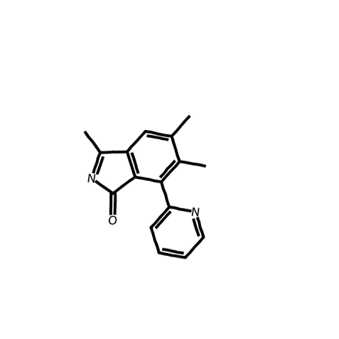 CC1=NC(=O)c2c1cc(C)c(C)c2-c1ccccn1